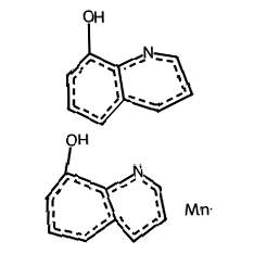 Oc1cccc2cccnc12.Oc1cccc2cccnc12.[Mn]